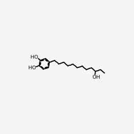 CCC(O)CCCCCCCCCc1ccc(O)c(O)c1